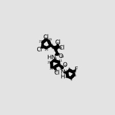 O=C(Nc1cccc(F)c1)c1cc(NC(=O)C2C(c3cc(Cl)cc(Cl)c3)C2(Cl)Cl)ccc1Cl